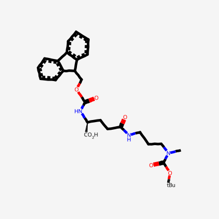 CN(CCCNC(=O)CC[C@H](NC(=O)OCC1c2ccccc2-c2ccccc21)C(=O)O)C(=O)OC(C)(C)C